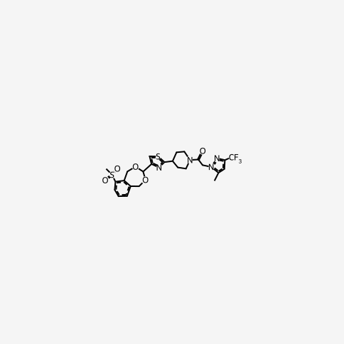 Cc1cc(C(F)(F)F)nn1CC(=O)N1CCC(c2nc(C3OCc4cccc(S(C)(=O)=O)c4CO3)cs2)CC1